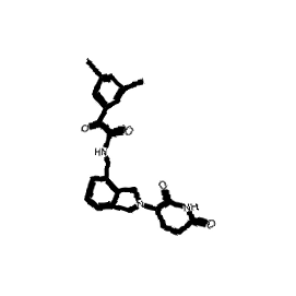 Cc1cc(C)cc(C(=O)C(=O)NCc2cccc3c2CN(C2CCC(=O)NC2=O)C3)c1